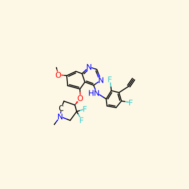 C#Cc1c(F)ccc(Nc2ncnc3cc(OC)cc(O[C@@H]4CCN(C)CC4(F)F)c23)c1F